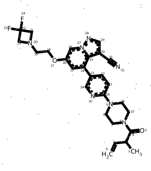 C=CC(C)C(=O)N1CCN(c2ccc(-c3cc(OCCN4CC(F)(F)C4)cn4ncc(C#N)c34)cn2)CC1